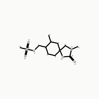 CC1CC2(CCC1COS(C)(=O)=O)CN(C)C(=O)O2